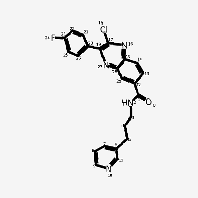 O=C(NCCCc1cccnc1)c1ccc2nc(Cl)c(-c3ccc(F)cc3)nc2c1